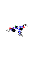 C=CC(=O)Nc1ccc(N2CCN(C)CC2)c(Nc2ncc(Cl)c(Nc3ccccc3C(=O)C(=O)N(C)C)n2)c1